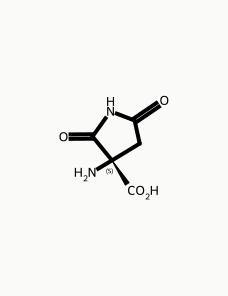 N[C@@]1(C(=O)O)CC(=O)NC1=O